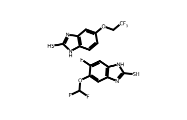 FC(F)(F)COc1ccc2[nH]c(S)nc2c1.Fc1cc2[nH]c(S)nc2cc1OC(F)F